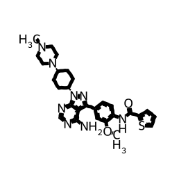 COc1cc(-c2nn([C@H]3CC[C@@H](N4CCN(C)CC4)CC3)c3ncnc(N)c23)ccc1NC(=O)c1cccs1